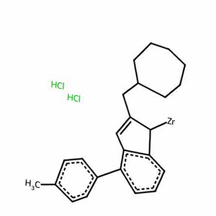 Cc1ccc(-c2cccc3c2C=C(CC2CCCCCC2)[CH]3[Zr])cc1.Cl.Cl